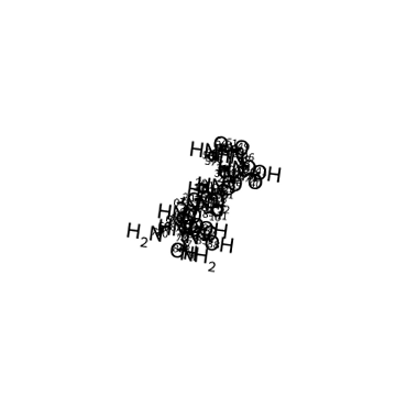 CC(C)[C@H](NC(=O)[C@H](Cc1ccccc1)NC(=O)[C@@H]1CCCN1C(=O)[C@@H](NC(=O)[C@@H]1CCCN1C(=O)[C@H](CCC(=O)O)NC(=O)[C@H](C)NC(=O)[C@H](C)NC(=O)[C@@H]1CCCN1)C(C)C)C(=O)N[C@@H](CCCCN)C(=O)N[C@@H](CCC(N)=O)C(=O)N[C@@H](CC(=O)O)C(=O)O